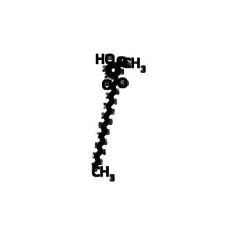 CCCCCCCCC=CCCCCCCCC(=O)C(=O)c1ccc(O)c(OC)c1